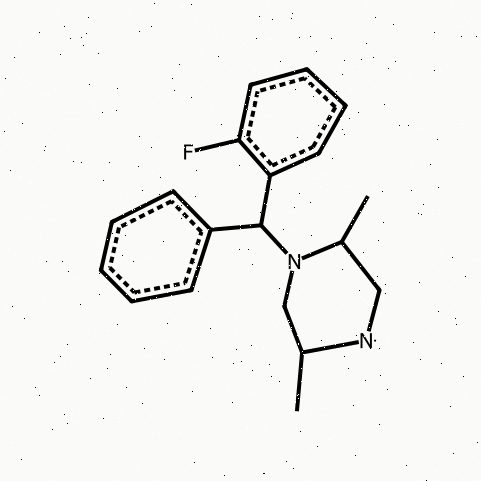 CC1CN(C(c2ccccc2)c2ccccc2F)C(C)C[N]1